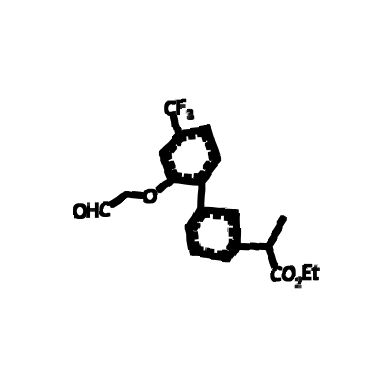 CCOC(=O)C(C)c1cccc(-c2ccc(C(F)(F)F)cc2OCC=O)c1